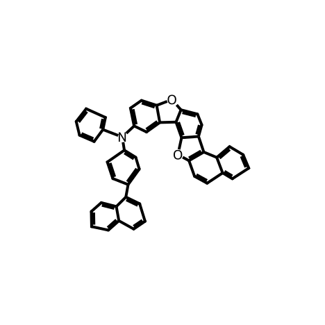 c1ccc(N(c2ccc(-c3cccc4ccccc34)cc2)c2ccc3oc4ccc5c(oc6ccc7ccccc7c65)c4c3c2)cc1